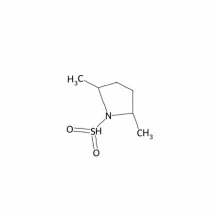 CC1CCC(C)N1[SH](=O)=O